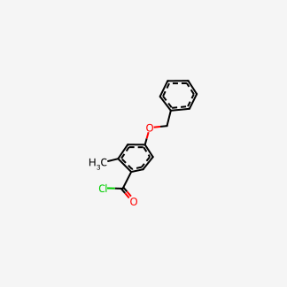 Cc1cc(OCc2ccccc2)ccc1C(=O)Cl